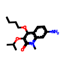 CCCCOc1c(OC(C)C)c(=O)n(C)c2cc(N)ccc12